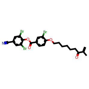 C=C(C)C(=O)CCCCCCOc1ccc(C(=O)Oc2c(Br)cc(C#N)cc2Br)cc1Br